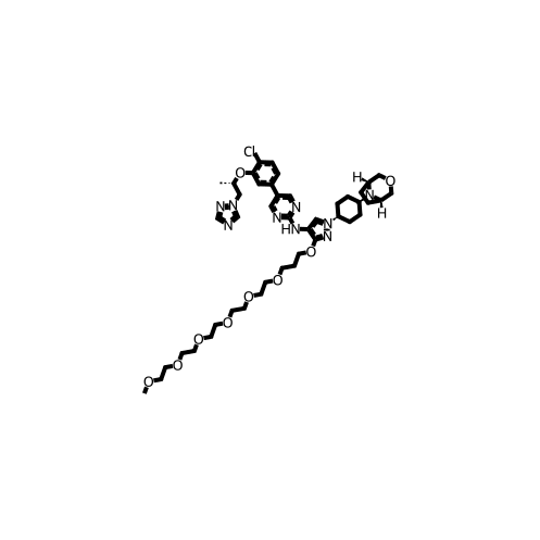 COCCOCCOCCOCCOCCOCCCOc1nn([C@H]2CC[C@H](N3[C@@H]4CC[C@H]3COC4)CC2)cc1Nc1ncc(-c2ccc(Cl)c(O[C@@H](C)Cn3cncn3)c2)cn1